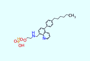 CCCCCCc1ccc(-c2ccc(CNCCOO[PH](=O)O)c3ncccc23)cc1